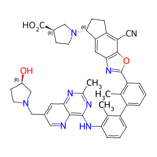 Cc1nc(Nc2cccc(-c3cccc(-c4nc5cc6c(c(C#N)c5o4)CC[C@H]6N4CC[C@@H](C(=O)O)C4)c3C)c2C)c2ncc(CN3CC[C@@H](O)C3)cc2n1